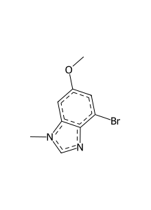 COc1cc(Br)c2ncn(C)c2c1